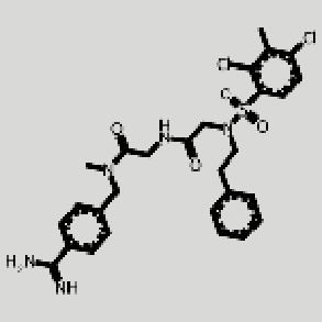 Cc1c(Cl)ccc(S(=O)(=O)N(CCc2ccccc2)CC(=O)NCC(=O)N(C)Cc2ccc(C(=N)N)cc2)c1Cl